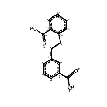 O=C(O)c1cccc(CCc2ccccc2C(=O)O)c1